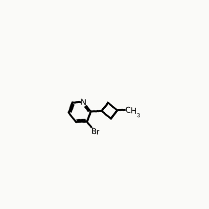 CC1CC(c2ncccc2Br)C1